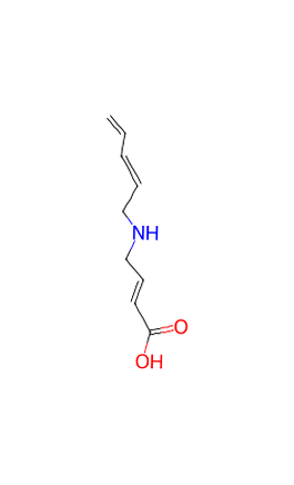 C=CC=CCNC/C=C/C(=O)O